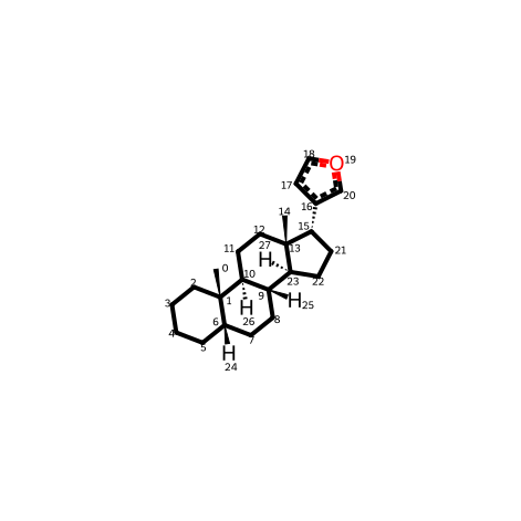 C[C@]12CCCC[C@H]1CC[C@@H]1[C@@H]2CC[C@]2(C)[C@H](c3ccoc3)CC[C@@H]12